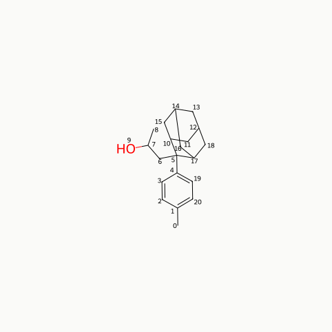 Cc1ccc(C2(CC(C)O)C3CC4CC(C3)CC2C4)cc1